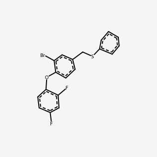 Fc1ccc(Oc2ccc(CSc3ccccc3)cc2Br)c(F)c1